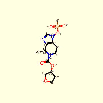 CC(C)[C@H]1c2ncn(OS(C)(=O)=O)c2CCN1C(=O)O[C@H]1CCOC1